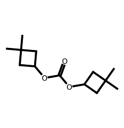 CC1(C)CC(OC(=O)OC2CC(C)(C)C2)C1